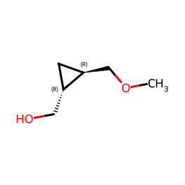 COC[C@@H]1C[C@H]1CO